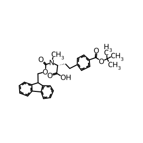 CN(C(=O)OCC1c2ccccc2-c2ccccc21)[C@H](CCc1ccc(C(=O)OC(C)(C)C)cc1)C(=O)O